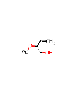 C=C[C@H](CO)OC(C)=O